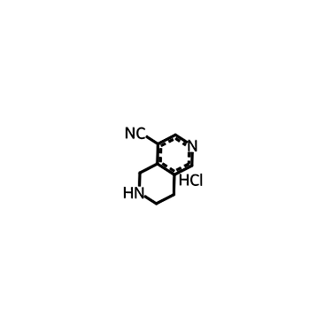 Cl.N#Cc1cncc2c1CNCC2